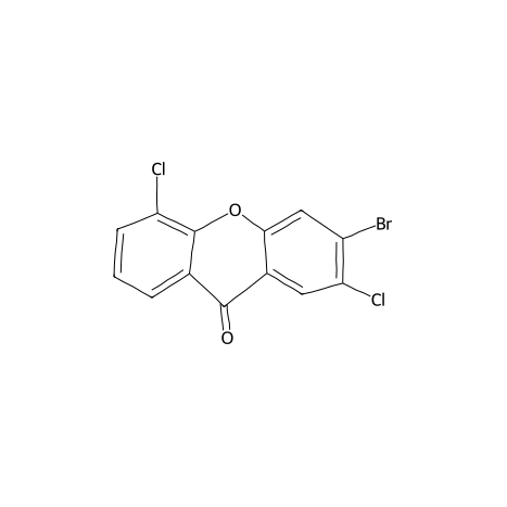 O=c1c2cc(Cl)c(Br)cc2oc2c(Cl)cccc12